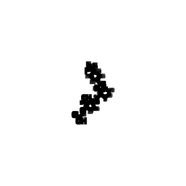 CCc1cc(SCc2cccc3sc(-c4ccc(C(F)(F)F)cc4)nc23)ccc1OCC(=O)O